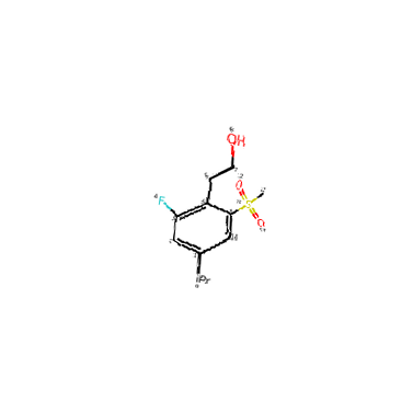 CC(C)c1cc(F)c(CCO)c(S(C)(=O)=O)c1